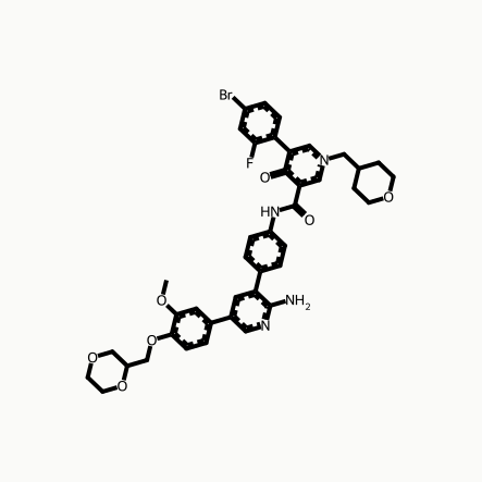 COc1cc(-c2cnc(N)c(-c3ccc(NC(=O)c4cn(CC5CCOCC5)cc(-c5ccc(Br)cc5F)c4=O)cc3)c2)ccc1OCC1COCCO1